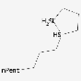 CCCCCCCC[SiH]1CCC[SiH2]1